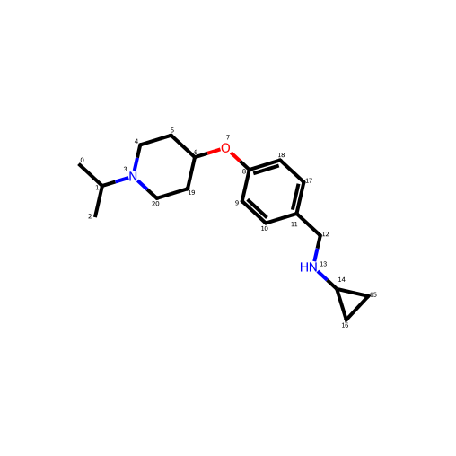 CC(C)N1CCC(Oc2ccc(CNC3CC3)cc2)CC1